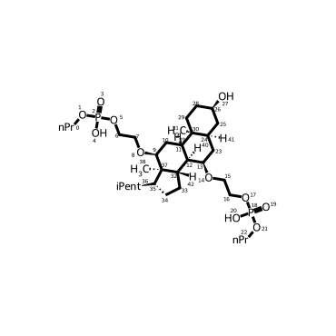 CCCOP(=O)(O)OCCO[C@H]1C[C@H]2[C@@H]([C@H](OCCOP(=O)(O)OCCC)C[C@@H]3C[C@H](O)CC[C@@]32C)[C@@H]2CC[C@H]([C@H](C)CCC)[C@@]12C